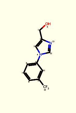 OCc1cn(-c2cccc(C(F)(F)F)c2)cn1